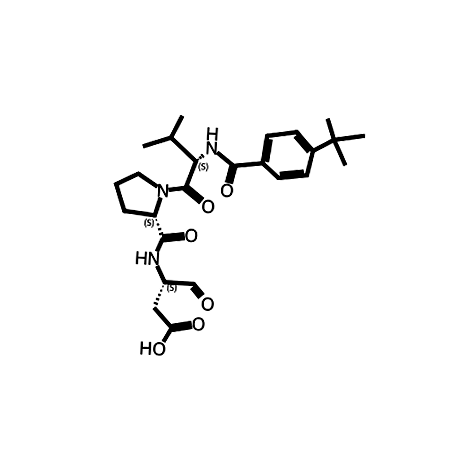 CC(C)[C@H](NC(=O)c1ccc(C(C)(C)C)cc1)C(=O)N1CCC[C@H]1C(=O)N[C@H](C=O)CC(=O)O